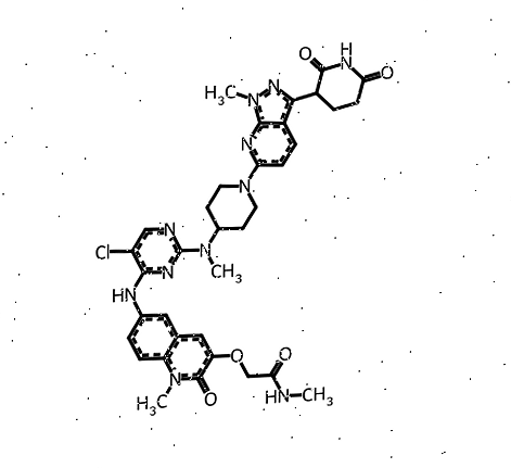 CNC(=O)COc1cc2cc(Nc3nc(N(C)C4CCN(c5ccc6c(C7CCC(=O)NC7=O)nn(C)c6n5)CC4)ncc3Cl)ccc2n(C)c1=O